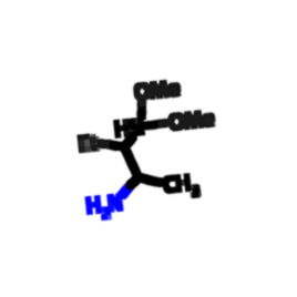 CCC(C(C)N)[SiH](OC)OC